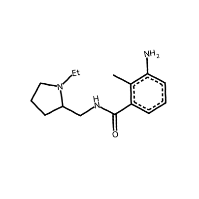 CCN1CCCC1CNC(=O)c1cccc(N)c1C